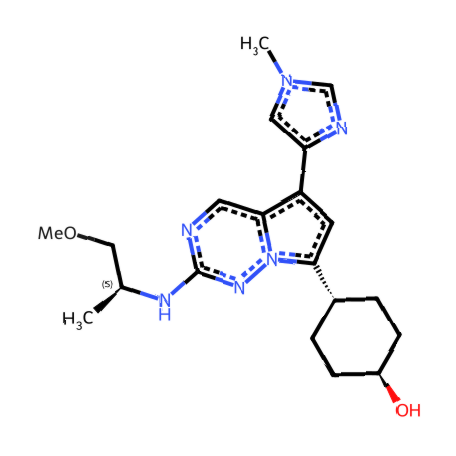 COC[C@H](C)Nc1ncc2c(-c3cn(C)cn3)cc([C@H]3CC[C@H](O)CC3)n2n1